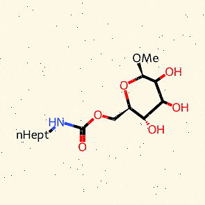 CCCCCCCNC(=O)OC[C@H]1O[C@@H](OC)C(O)C(O)[C@@H]1O